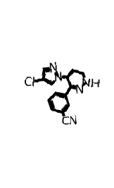 N#Cc1cccc(C2=NNCCC2n2cc(Cl)cn2)c1